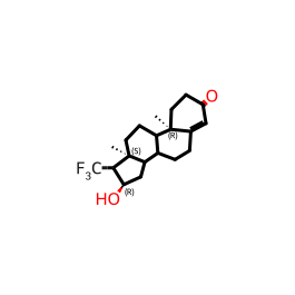 C[C@]12CCC3C(CCC4=CC(=O)CC[C@@]43C)C1C[C@@H](O)C2C(F)(F)F